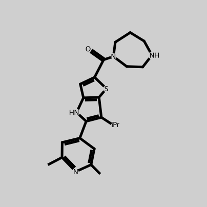 Cc1cc(-c2[nH]c3cc(C(=O)N4CCCNCC4)sc3c2C(C)C)cc(C)n1